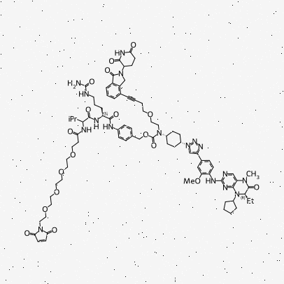 CC[C@@H]1C(=O)N(C)c2cnc(Nc3ccc(-c4cn([C@H]5CC[C@@H](N(CCOCCC#Cc6cccc7c6CN(C6CCC(=O)NC6=O)C7=O)C(=O)OCc6ccc(NC(=O)[C@H](CCCNC(N)=O)NC(=O)C(NC(=O)CCOCCOCCOCCOCCN7C(=O)C=CC7=O)C(C)C)cc6)CC5)nn4)cc3OC)nc2N1C1CCCC1